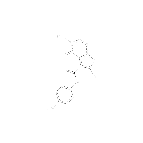 CC(=O)Nc1ccc(NC(=O)c2c(C)oc3ncn(C)c(=O)c23)cn1